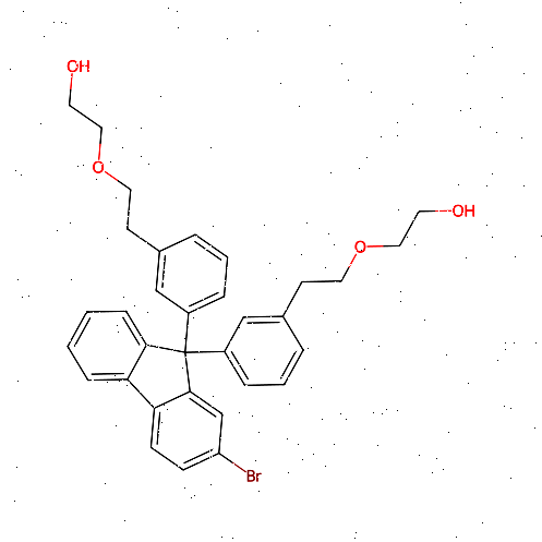 OCCOCCc1cccc(C2(c3cccc(CCOCCO)c3)c3ccccc3-c3ccc(Br)cc32)c1